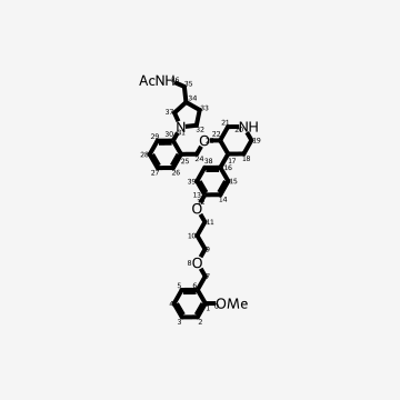 COc1ccccc1COCCCOc1ccc(C2CCNCC2OCc2ccccc2N2CCC(CNC(C)=O)C2)cc1